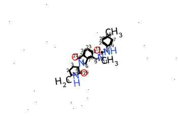 C=C1CCC(N2Cc3c(CN(C)C(=O)Nc4ccc(C)cc4)cccc3C2=O)C(=O)N1